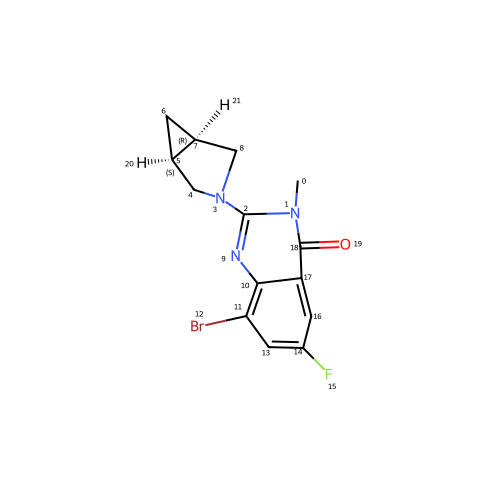 Cn1c(N2C[C@H]3C[C@H]3C2)nc2c(Br)cc(F)cc2c1=O